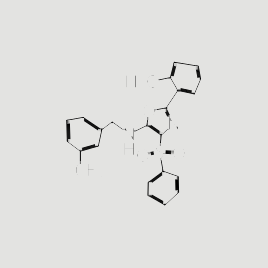 Cc1ccccc1-c1nc(S(=O)(=O)c2ccccc2)c(NCc2cccc(C(F)(F)F)c2)o1